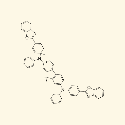 CC1(C)c2cc(N(c3ccccc3)c3ccc(-c4nc5ccccc5o4)cc3)ccc2-c2ccc(N(c3ccccc3)C3(C)C=CC(c4nc5ccccc5o4)=CC3)cc21